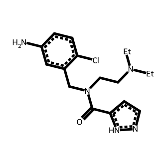 CCN(CC)CCN(Cc1cc(N)ccc1Cl)C(=O)c1ccn[nH]1